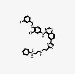 O=S(=O)(CCNCCc1nc(-c2ccc3ncnc(Nc4ccc(OCc5cccc(F)c5)c(Cl)c4)c3c2)cs1)c1ccccc1